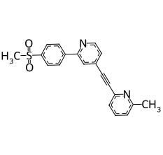 Cc1cccc(C#Cc2ccnc(-c3ccc(S(C)(=O)=O)cc3)c2)n1